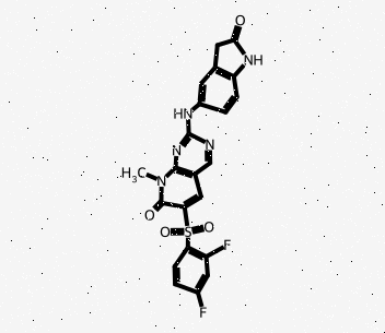 Cn1c(=O)c(S(=O)(=O)c2ccc(F)cc2F)cc2cnc(Nc3ccc4c(c3)CC(=O)N4)nc21